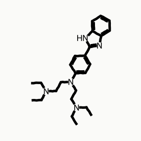 CCN(CC)CCN(CCN(CC)CC)c1ccc(-c2nc3ccccc3[nH]2)cc1